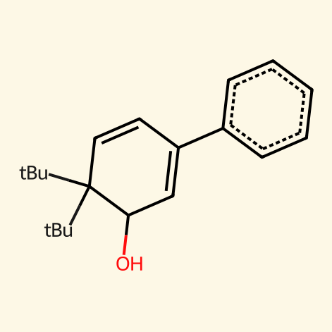 CC(C)(C)C1(C(C)(C)C)C=CC(c2ccccc2)=CC1O